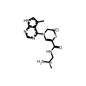 Cc1c[nH]c2ncnc(N3C=C(C(=O)NC[C@@H](C)N)SCC3)c12.Cl